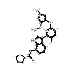 COc1nn(C)cc1Nc1ncc(F)c(-c2c[nH]c3c(NC(=O)[C@@H]4CCCN4)cccc23)n1